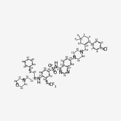 CC1(C)CCC(c2ccc(Cl)cc2)=C(CN2CCN(c3ccc4c(NS(=O)(=O)c5ccc(N[C@H](CCN6CCOCC6)CSc6ccccc6)c(SC(F)(F)F)c5)ncnc4c3)CC2)C1